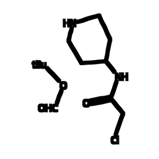 CC(C)(C)OC=O.O=C(CCl)NC1CCNCC1